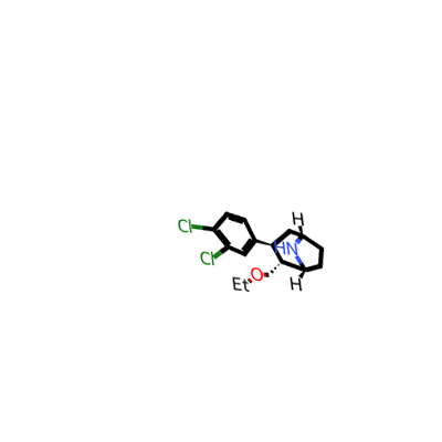 CCOC[C@@H]1[C@@H](c2ccc(Cl)c(Cl)c2)C[C@@H]2CC[C@H]1N2